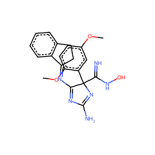 COc1ccc(OC)c(C2(C(=N)NO)N=C(N)N=C2N=C2CCc3ccccc32)c1